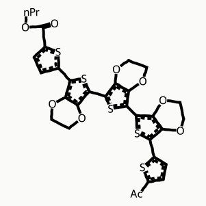 CCCOC(=O)c1ccc(-c2sc(-c3sc(-c4sc(-c5ccc(C(C)=O)s5)c5c4OCCO5)c4c3OCCO4)c3c2OCCO3)s1